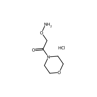 Cl.NOCC(=O)N1CCOCC1